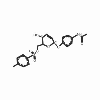 CC(=O)Nc1ccc(O[C@@H]2C=C[C@H](O)C(COS(=O)(=O)c3ccc(C)cc3)O2)cc1